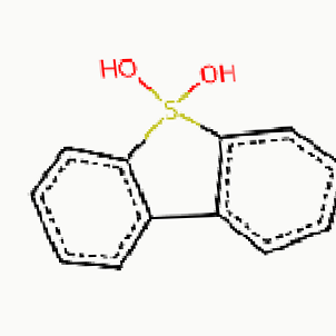 OS1(O)c2ccccc2-c2ccccc21